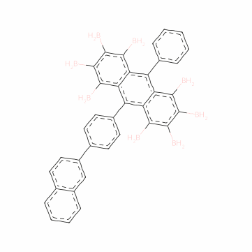 Bc1c(B)c(B)c2c(-c3ccc(-c4ccc5ccccc5c4)cc3)c3c(B)c(B)c(B)c(B)c3c(-c3ccccc3)c2c1B